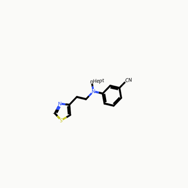 CCCCCCCN(CCc1cs[c]n1)c1cccc(C#N)c1